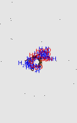 CCCCCCCCCCCCCCCC(=O)NCC(=O)N[C@@H](CO)C(=O)N[C@H](CCC(N)=O)C(=O)N[C@@H](Cc1c[nH]cn1)C(=O)N[C@@H](CO)C(=O)N[C@@H](CCCC)C(=O)N[C@H]1CCSSCC[C@@H](C(N)=O)NC(=O)[C@H](Cc2c[nH]c3ccccc23)NC(=O)[C@H](CCCNC(=N)N)NC(=O)[C@@H](Cc2ccccc2)NC(=O)[C@@H]2C[C@@H](O)CN2C1=O